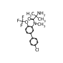 CN(C(=O)C(C)(C)N)c1cc(-c2ccc(Cl)cc2)ccc1OC(F)(F)F